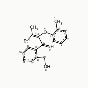 CC/C(C)=C(/Oc1ccccc1C)C(=N)c1ccccc1CO